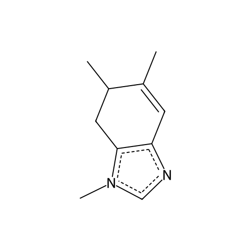 CC1=Cc2ncn(C)c2CC1C